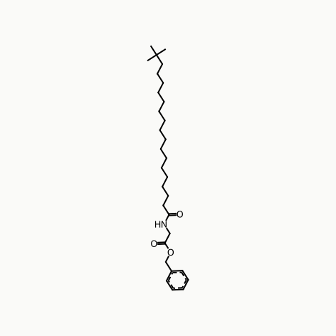 CC(C)(C)CCCCCCCCCCCCCCCCC(=O)NCC(=O)OCc1ccccc1